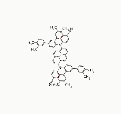 Cc1ccc(-c2ccc(N(C3=C4C=CC5=C6C(=CC=C(C=C3)C46)C(N(c3ccc(C#N)cc3)c3ccc(-c4ccc(C)c(C)c4)cc3-c3ccc(C)c(C)c3)C=C5)c3ccc(C#N)cc3)c(-c3ccc(C)c(C)c3)c2)cc1C